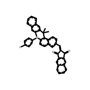 CC1(C)c2cc3ccccc3cc2N(c2ccc(F)cc2)c2ccc3cc(C=C4C(=O)c5cc6ccccc6cc5C4=O)ccc3c21